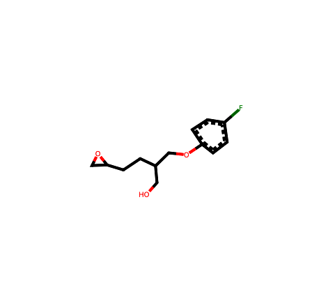 OCC(CCC1CO1)COc1ccc(F)cc1